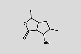 CCC(C)C1C(C)CC2C(C)OC(=O)C21